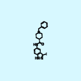 O=C(Nc1ccc2[nH]nc(I)c2c1)C1CCN(Cc2ccccc2)CC1